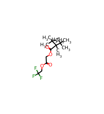 CC(C)(C)C(C)(C(=O)OCC(=O)OCC(F)(F)F)C(C)(C)C